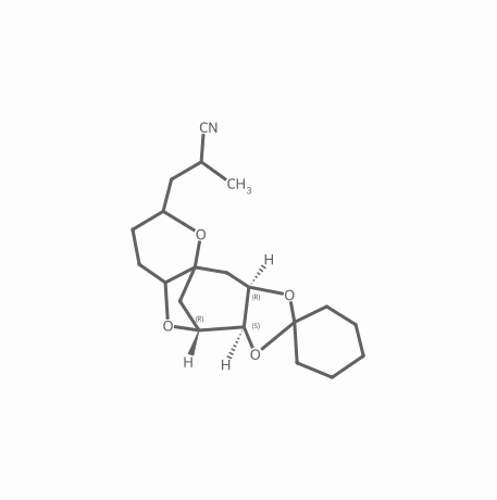 CC(C#N)CC1CCC2O[C@@H]3CC2(C[C@H]2OC4(CCCCC4)O[C@@H]32)O1